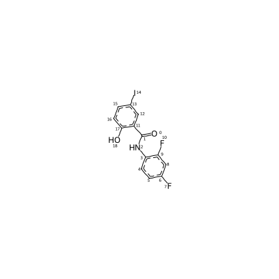 O=C(Nc1ccc(F)cc1F)c1cc(I)ccc1O